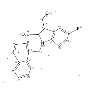 O=C(O)C1C(CO)c2cc(F)ccc2N1Cc1cccc2ccccc12